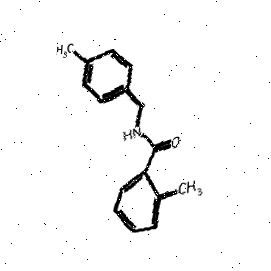 Cc1ccc(CNC(=O)c2ccccc2C)cc1